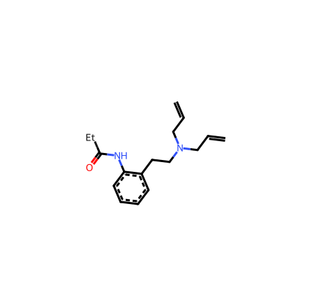 C=CCN(CC=C)CCc1ccccc1NC(=O)CC